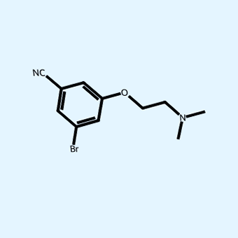 CN(C)CCOc1cc(Br)cc(C#N)c1